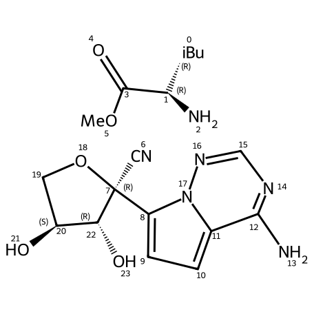 CC[C@@H](C)[C@@H](N)C(=O)OC.N#C[C@@]1(c2ccc3c(N)ncnn23)OC[C@H](O)[C@H]1O